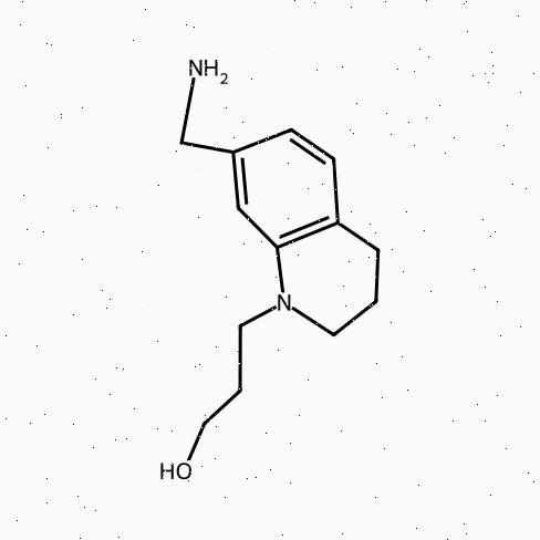 NCc1ccc2c(c1)N(CCCO)CCC2